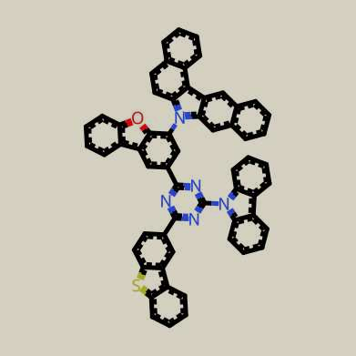 c1ccc2cc3c(cc2c1)c1c2ccccc2ccc1n3-c1cc(-c2nc(-c3ccc4sc5ccccc5c4c3)nc(-n3c4ccccc4c4ccccc43)n2)cc2c1oc1ccccc12